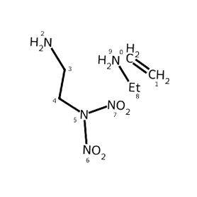 C=C.NCCN([N+](=O)[O-])[N+](=O)[O-].[CH2]CN